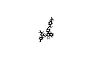 Cc1ccc(-n2nc(C(C)(C)C)cc2NC(=O)Nc2ccccc2CC2CCN(CC(=O)c3ccc(OC(F)F)cc3)CC2)cc1